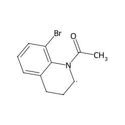 CC(=O)N1[CH]CCc2cccc(Br)c21